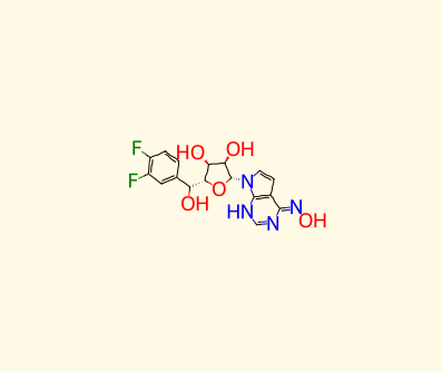 ON=c1nc[nH]c2c1ccn2[C@@H]1O[C@H](C(O)c2ccc(F)c(F)c2)[C@@H](O)[C@H]1O